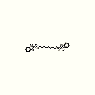 c1ccc2sc(SSCCCCCCCCSSc3nc4ccccc4s3)nc2c1